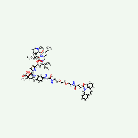 CCCCCCN(C(=O)[C@@H](NC(=O)[C@H]1CCCCN1C)[C@@H](C)CC)[C@H](C[C@@H](OC(C)=O)c1nc(C(=O)N[C@@H](Cc2ccc(NCC(=O)NCCOCCOCCNC(=O)CCC(=O)N3Cc4ccccc4/C=C\C4=C3CCC=C4)cc2)CC(C)(C)C(=O)O)cs1)C(C)C